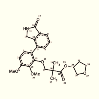 COc1ccc(-c2cccc3c2CNC3=O)c(OCC(C)(C)C(=O)O[C@@H]2CCOC2)c1OC